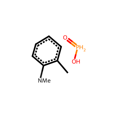 CNc1ccccc1C.O=[PH2]O